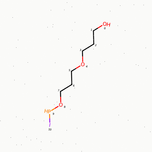 OCCCOCCCOPI